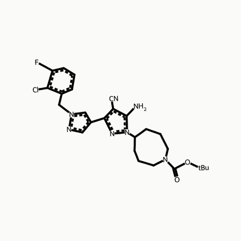 CC(C)(C)OC(=O)N1CCCC(n2nc(-c3cnn(Cc4cccc(F)c4Cl)c3)c(C#N)c2N)CCC1